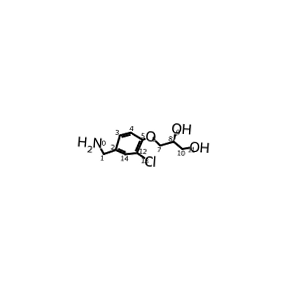 NCc1ccc(OC[C@@H](O)CO)c(Cl)c1